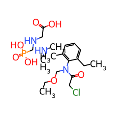 CCOCN(C(=O)CCl)c1c(C)cccc1CC.CNC.O=C(O)CNCP(=O)(O)O